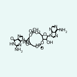 C[P@]1(=O)OCC2OC(n3cnc4c(N)ncnc43)C(O)C2O[PH](=O)OCC2O[C@@H](n3cnc4c(=O)[nH]c(N)nc43)C(O1)C2O